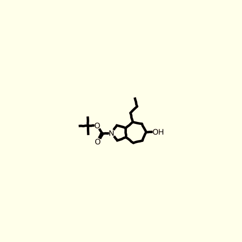 CCCC1CC(O)CCC2CN(C(=O)OC(C)(C)C)CC12